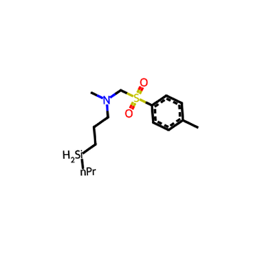 CCC[SiH2]CCCN(C)CS(=O)(=O)c1ccc(C)cc1